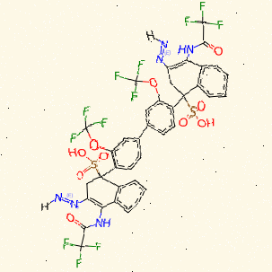 [H]/N=N/C1=C(NC(=O)C(F)(F)F)c2ccccc2C(c2ccc(-c3ccc(C4(S(=O)(=O)O)CC(/N=N/[H])=C(NC(=O)C(F)(F)F)c5ccccc54)c(OC(F)(F)F)c3)cc2OC(F)(F)F)(S(=O)(=O)O)C1